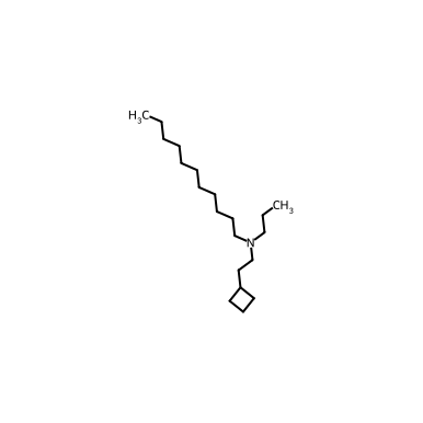 CCCCCCCCCCCN(CCC)CCC1CCC1